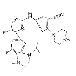 CC(C)N1CCN(C)c2c(F)cc(-c3nc(Nc4ccc(N5CCNCC5)c(C#N)c4)ncc3F)cc21